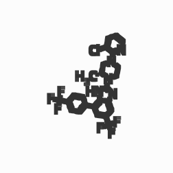 C[C@@H]1CN(c2ncccc2Cl)CCN1c1nc2cc(C(F)(F)F)cc(-c3ccc(C(F)(F)F)cc3)c2[nH]1